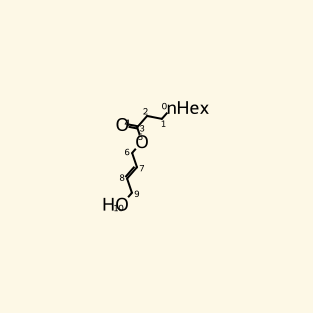 CCCCCCCCC(=O)OCC=CCO